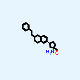 N[C@]1(C=O)CC[C@H](c2ccc3c(c2)CCC(CCc2ccccc2)C3)C1